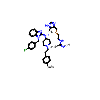 CN/C(=N/C#N)NCCSCc1nc[nH]c1C.COc1ccc(CCN2CCC(Nc3nc4ccccc4n3Cc3ccc(F)cc3)CC2)cc1